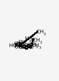 CCCCCCCCCCCCCCCCOC(C(=O)O)C(COP(=O)(O)O)OC1CC[C@@]2(C)C(=CCC3C2CC[C@@]2(C)C3CC[C@@H]2[C@H](C)CCCC(C)C)C1